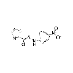 O=[N+]([O-])c1ccc(N/N=C(\Cl)c2nccs2)cc1